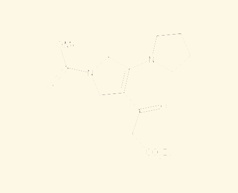 CCOC(=O)CC(=O)C1=C(N2CCCC2)CN(C(=O)OC)C1